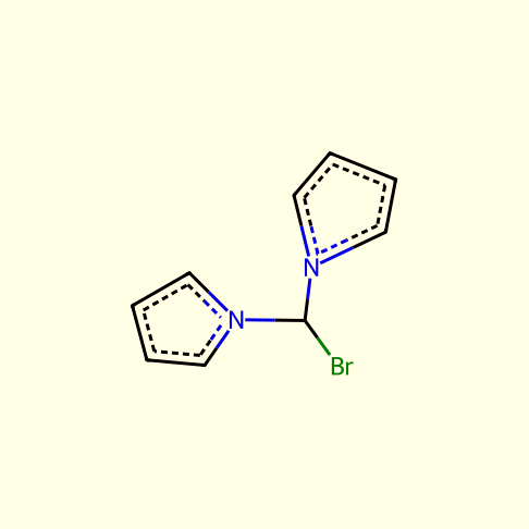 BrC(n1cccc1)n1cccc1